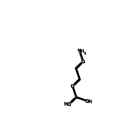 NOCCOB(O)O